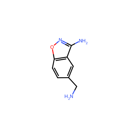 NCc1ccc2onc(N)c2c1